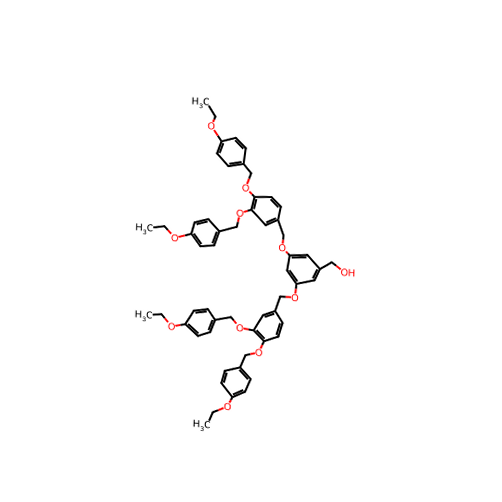 CCOc1ccc(COc2ccc(COc3cc(CO)cc(OCc4ccc(OCc5ccc(OCC)cc5)c(OCc5ccc(OCC)cc5)c4)c3)cc2OCc2ccc(OCC)cc2)cc1